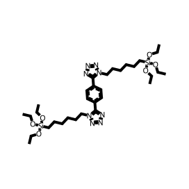 CCO[Si](CCCCCCn1nnnc1-c1ccc(-c2nnnn2CCCCCC[Si](OCC)(OCC)OCC)cc1)(OCC)OCC